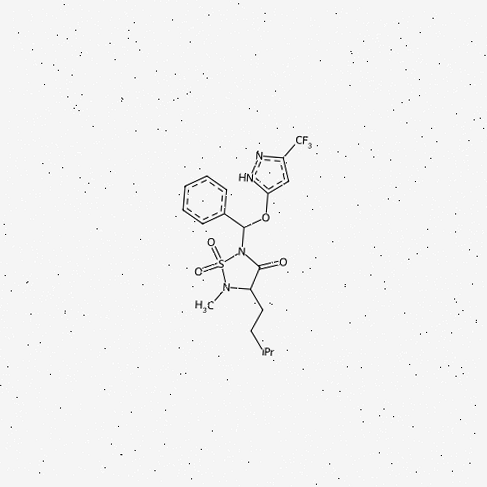 CC(C)CCC1C(=O)N(C(Oc2cc(C(F)(F)F)n[nH]2)c2ccccc2)S(=O)(=O)N1C